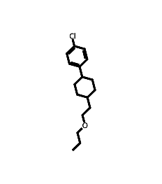 CCCOCCC1CCC(c2ccc(Cl)cc2)CC1